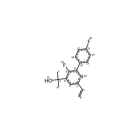 C=Cc1cc(C(C)(C)O)c(F)c(-c2ccc(F)cc2)n1